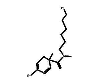 C=C(N(C)CCCCCCC(C)C)C1(C)C=CC(C(C)C)=CC1